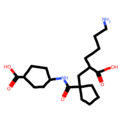 NCCCCC(CC1(C(=O)NC2CCC(C(=O)O)CC2)CCCC1)C(=O)O